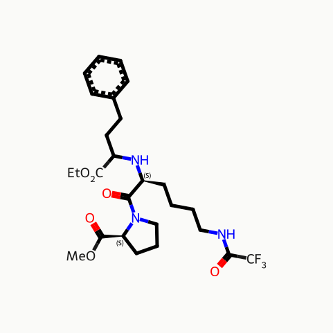 CCOC(=O)C(CCc1ccccc1)N[C@@H](CCCCNC(=O)C(F)(F)F)C(=O)N1CCC[C@H]1C(=O)OC